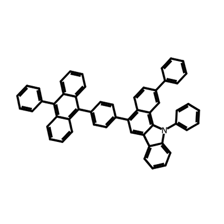 c1ccc(-c2ccc3c(-c4ccc(-c5c6ccccc6c(-c6ccccc6)c6ccccc56)cc4)cc4c5ccccc5n(-c5ccccc5)c4c3c2)cc1